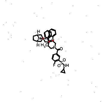 Cc1nc2ccccc2n1[C@H]1C[C@H]2CC[C@@H](C1)N2CCC1(c2ccccc2)CCN(C(=O)c2ccc(F)c(S(=O)(=O)NC3CC3)c2)CC1